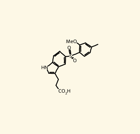 COc1cc(C)ccc1S(=O)(=O)c1ccc2[nH]cc(CCC(=O)O)c2c1